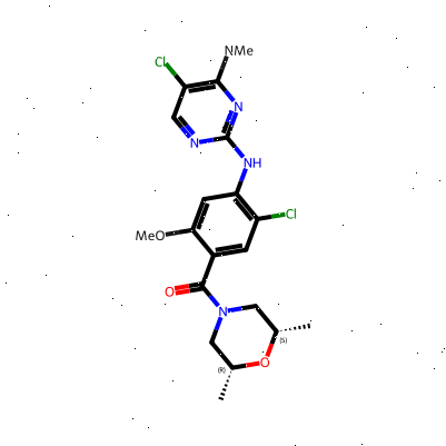 CNc1nc(Nc2cc(OC)c(C(=O)N3C[C@@H](C)O[C@@H](C)C3)cc2Cl)ncc1Cl